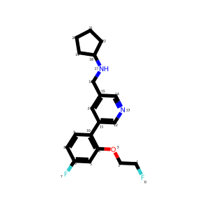 FCCOc1cc(F)ccc1-c1cncc(CNC2CCCC2)c1